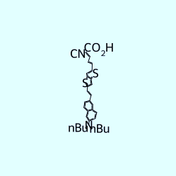 [C-]#[N+]/C(=C\C=C\c1cc2sc(/C=C/c3ccc4cc(N(CCCC)CCCC)ccc4c3)cc2s1)C(=O)O